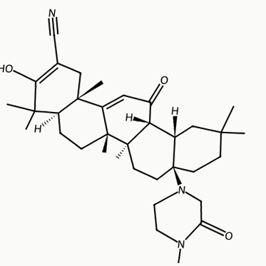 CN1CCN([C@]23CCC(C)(C)C[C@H]2[C@H]2C(=O)C=C4[C@@]5(C)CC(C#N)=C(O)C(C)(C)[C@@H]5CC[C@@]4(C)[C@]2(C)CC3)CC1=O